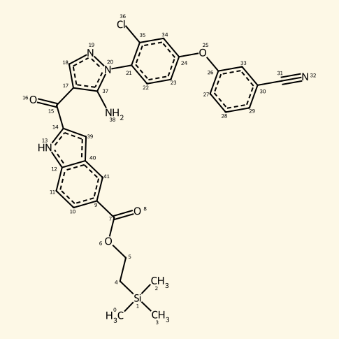 C[Si](C)(C)CCOC(=O)c1ccc2[nH]c(C(=O)c3cnn(-c4ccc(Oc5cccc(C#N)c5)cc4Cl)c3N)cc2c1